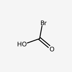 O=C(O)Br